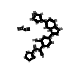 Cl.Cl.O=C(NC1=NCCS1)c1ccc(-c2cnc3ccc(-c4cn[nH]c4)cn23)cc1F